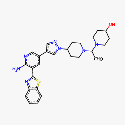 Nc1ncc(-c2cnn(C3CCN(C(C=O)N4CCC(O)CC4)CC3)c2)cc1-c1nc2ccccc2s1